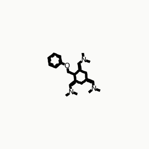 CN(C)C=C1CC(=CN(C)C)C(COc2ccccc2)C(=CN(C)C)C1